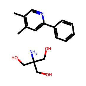 Cc1cnc(-c2ccccc2)cc1C.NC(CO)(CO)CO